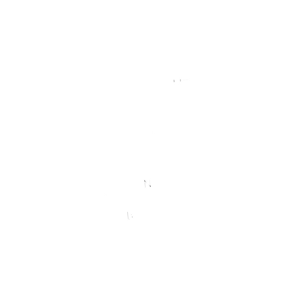 OCC1CC2CB3CC(C1)N32